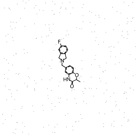 CC1Oc2ccc(CN3Cc4ccc(F)cc4C3)cc2NC1=O